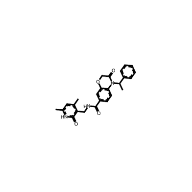 Cc1cc(C)c(CNC(=O)c2ccc3c(c2)OCC(=O)N3C(C)c2ccccc2)c(=O)[nH]1